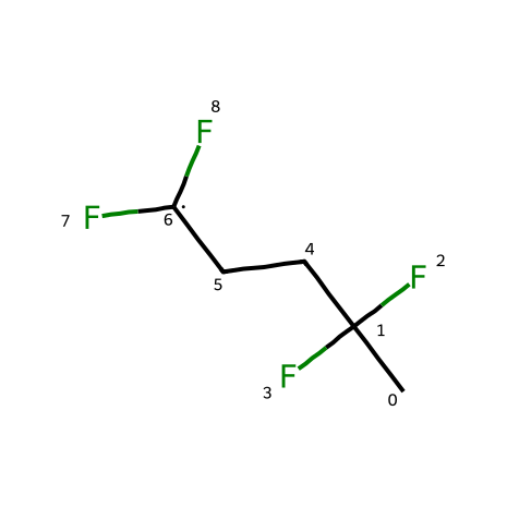 CC(F)(F)CC[C](F)F